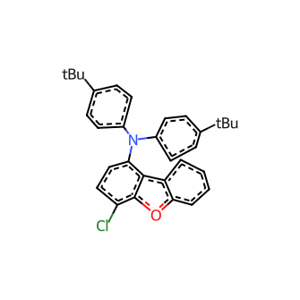 CC(C)(C)c1ccc(N(c2ccc(C(C)(C)C)cc2)c2ccc(Cl)c3oc4ccccc4c23)cc1